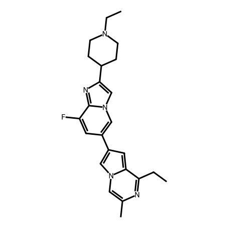 CCc1nc(C)cn2cc(-c3cc(F)c4nc(C5CCN(CC)CC5)cn4c3)cc12